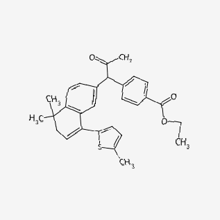 CCOC(=O)c1ccc(C(C(C)=O)c2ccc3c(c2)C(c2ccc(C)s2)=CCC3(C)C)cc1